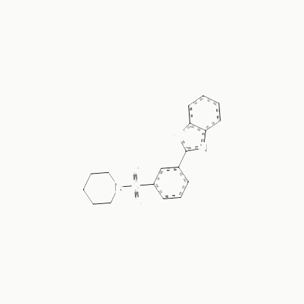 O=S(=O)(c1cccc(-c2nc3ccccc3o2)c1)N1CCCCC1